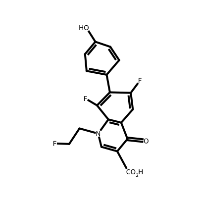 O=C(O)c1cn(CCF)c2c(F)c(-c3ccc(O)cc3)c(F)cc2c1=O